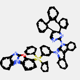 c1ccc(S(c2ccccc2)(c2cccc(-n3c4ccccc4c4c5ccccc5n(-c5ncc6c(n5)-c5ccccc5-c5ccccc5-c5ccccc5-6)c43)c2)c2cccc3c2oc2nc4ccccc4n23)cc1